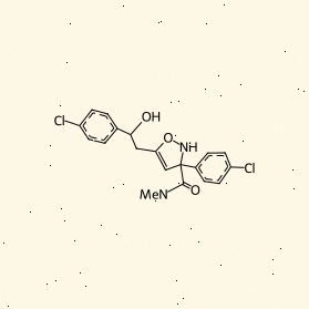 CNC(=O)C1(c2ccc(Cl)cc2)C=C(CC(O)c2ccc(Cl)cc2)ON1